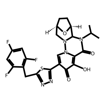 CC(C)N1C(=O)c2c(O)c(=O)c(-c3nnc(Cc4c(F)cc(F)cc4F)s3)cn2N2C[C@H]3CC[C@H](O3)C12